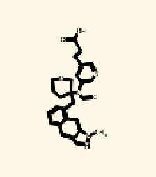 Cn1ncc2cc3cccc(CC4(N(C=O)c5cncc(/C=C/C(=O)O)c5)CCCCC4)c3cc21